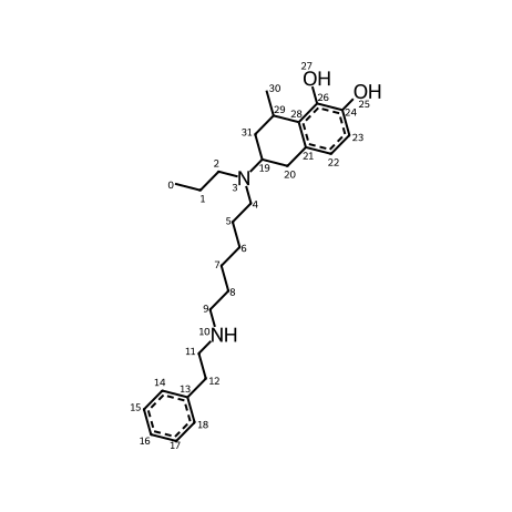 CCCN(CCCCCCNCCc1ccccc1)C1Cc2ccc(O)c(O)c2C(C)C1